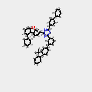 CC1(C)c2ccccc2-c2ccc(-c3cccc(-c4nc(-c5ccc(-c6ccccc6)cc5)nc(-c5ccc6c(c5)oc5cccc(-c7ccccc7)c56)n4)c3)cc21